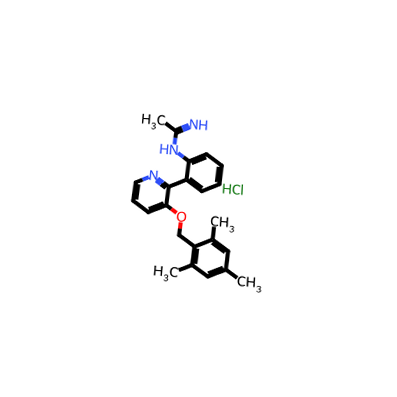 CC(=N)Nc1ccccc1-c1ncccc1OCc1c(C)cc(C)cc1C.Cl